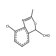 CC1=Nc2c(Cl)cccc2C(C=O)O1